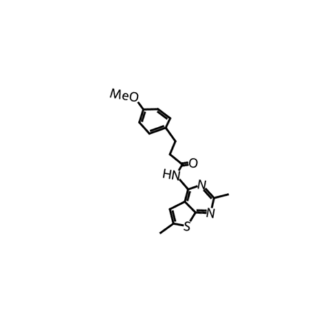 COc1ccc(CCC(=O)Nc2nc(C)nc3sc(C)cc23)cc1